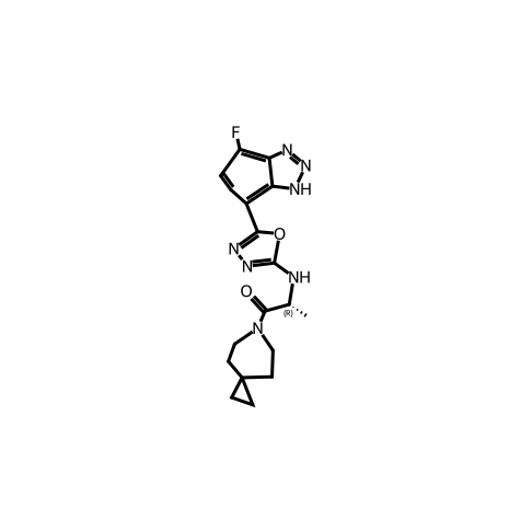 C[C@@H](Nc1nnc(-c2ccc(F)c3nn[nH]c23)o1)C(=O)N1CCC2(CC1)CC2